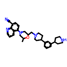 CC1CN(c2ccc(C#N)c3ncccc23)CC(CN2CCC(c3cccc(C4CCNCC4)c3)CC2)O1